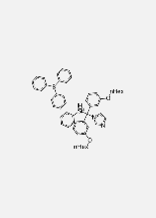 CCCCCCOc1cccc(C([SiH2]c2ccccc2)(c2cccc(OCCCCCC)c2)n2ccnc2)c1.c1ccc(B(c2ccccc2)c2ccccc2)cc1